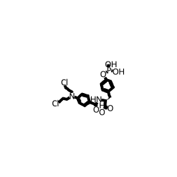 O=C(N[C@H](Cc1ccc(OP(O)O)cc1)C(=O)O)c1ccc(N(CCCl)CCCl)cc1